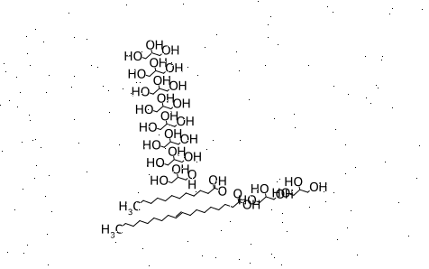 CCCCCCCCC=CCCCCCCCC(=O)O.CCCCCCCCCCCC(=O)O.OCC(O)CO.OCC(O)CO.OCC(O)CO.OCC(O)CO.OCC(O)CO.OCC(O)CO.OCC(O)CO.OCC(O)CO.OCC(O)CO.OCC(O)CO